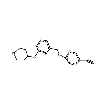 N#Cc1ccc(OCc2cccc(OC3CCNCC3)n2)nc1